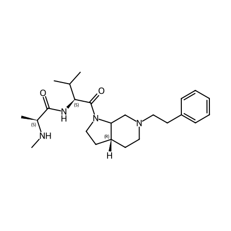 CN[C@@H](C)C(=O)N[C@H](C(=O)N1CC[C@H]2CCN(CCc3ccccc3)CC21)C(C)C